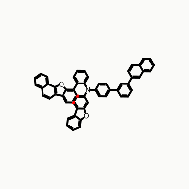 c1cc(-c2ccc(N(c3ccc4c(c3)oc3ccccc34)c3ccccc3-c3cccc4c3oc3c5ccccc5ccc43)cc2)cc(-c2ccc3ccccc3c2)c1